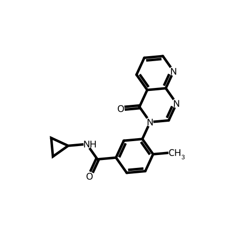 Cc1ccc(C(=O)NC2CC2)cc1-n1cnc2ncccc2c1=O